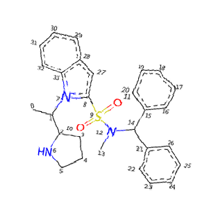 CC(C1CCCN1)n1c(S(=O)(=O)N(C)C(c2ccccc2)c2ccccc2)cc2ccccc21